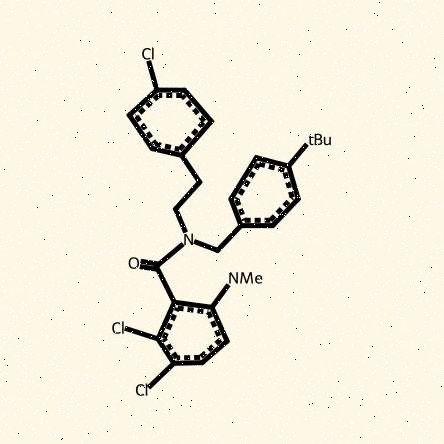 CNc1ccc(Cl)c(Cl)c1C(=O)N(CCc1ccc(Cl)cc1)Cc1ccc(C(C)(C)C)cc1